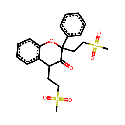 CS(=O)(=O)CCC1C(=O)C(CCS(C)(=O)=O)(c2ccccc2)Oc2ccccc21